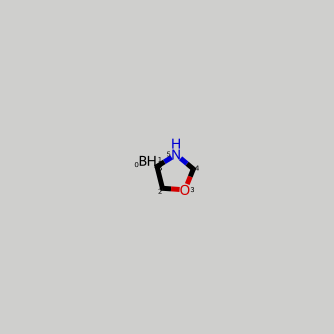 B.C1COCN1